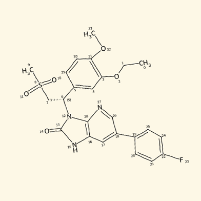 CCOc1cc([C@@H](CS(C)(=O)=O)n2c(=O)[nH]c3cc(-c4ccc(F)cc4)cnc32)ccc1OC